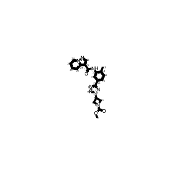 COC(=O)N1CC(n2nnc(-c3ccc(C)c(NC(=O)c4cnn5ccccc45)c3)n2)C1